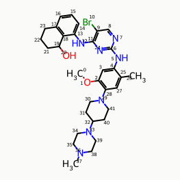 COc1cc(Nc2ncc(Br)c(Nc3cccc4c3C(O)CCC4)n2)c(C)cc1N1CCC(N2CCN(C)CC2)CC1